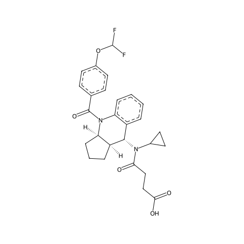 O=C(O)CCC(=O)N(C1CC1)[C@H]1c2ccccc2N(C(=O)c2ccc(OC(F)F)cc2)[C@@H]2CCC[C@@H]21